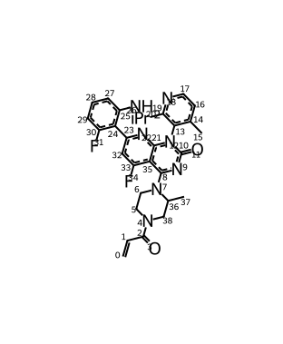 C=CC(=O)N1CCN(c2nc(=O)n(-c3c(C)ccnc3C(C)C)c3nc(-c4c(N)cccc4F)cc(F)c23)C(C)C1